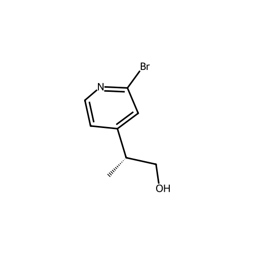 C[C@@H](CO)c1ccnc(Br)c1